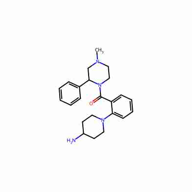 CN1CCN(C(=O)c2ccccc2N2CCC(N)CC2)C(c2ccccc2)C1